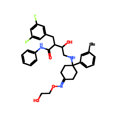 CC(C)(C)c1cccc(C2(NCC(O)C(Cc3cc(F)cc(F)c3)C(=O)Nc3ccccc3)CCC(=NOCCO)CC2)c1